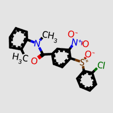 Cc1ccccc1N(C)C(=O)c1ccc([S+]([O-])c2ccccc2Cl)c([N+](=O)[O-])c1